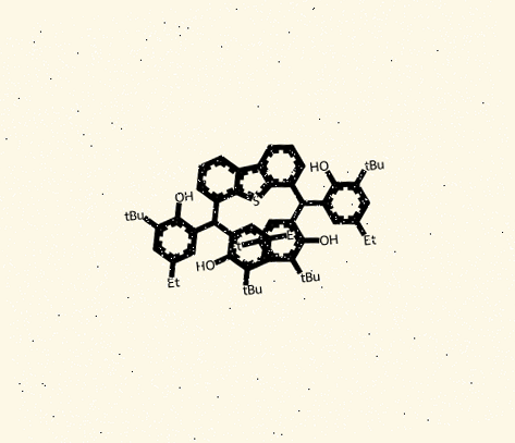 CCc1cc(C(c2cc(CC)cc(C(C)(C)C)c2O)c2cccc3c2sc2c(C(c4cc(CC)cc(C(C)(C)C)c4O)c4cc(CC)cc(C(C)(C)C)c4O)cccc23)c(O)c(C(C)(C)C)c1